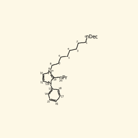 CCCCCCCCCCCCCCCCCC[n+]1ccn(-c2ccccc2)c1CCC